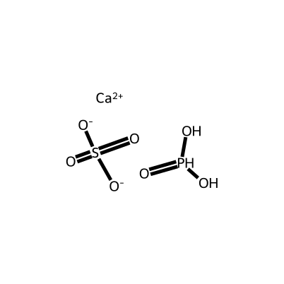 O=S(=O)([O-])[O-].O=[PH](O)O.[Ca+2]